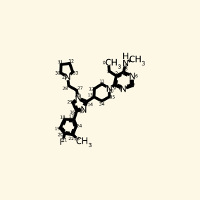 CCc1c(NC)ncnc1N1CCC(c2nc(-c3ccc(F)c(C)c3)cn2CCN2CCCC2)CC1